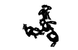 C[C@H](NC(=O)c1cn(Cc2ccc(Cl)cc2)c(=O)c2c1SC[C@@H]2NC(=O)OC(C)(C)C)c1ccc(F)cc1